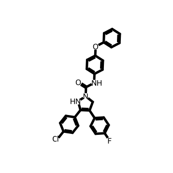 O=C(Nc1ccc(Oc2ccccc2)cc1)N1CC(c2ccc(F)cc2)=C(c2ccc(Cl)cc2)N1